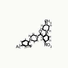 CC(=O)c1ccc(N2CCN(C(=O)c3cc([N+](=O)[O-])ccc3N3CCN(C)CC3)CC2)c(F)c1